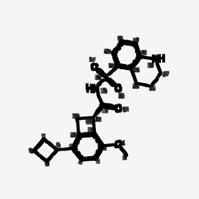 COc1ccc(C2CCC2)c2c1[C@H](C(=O)NS(=O)(=O)c1cccc3c1CCCN3)C2